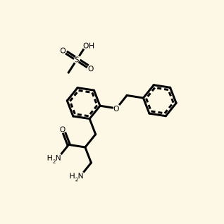 CS(=O)(=O)O.NCC(Cc1ccccc1OCc1ccccc1)C(N)=O